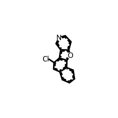 Clc1cc2ccccc2c2oc3ccncc3c12